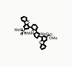 COP(=O)(OC)c1cc(-c2ccc3oc4c(-c5cc(P(=O)(OC)OC)cc6c5sc5ccccc56)cccc4c3c2)c2sc3ccccc3c2c1